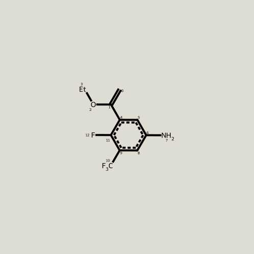 C=C(OCC)c1cc(N)cc(C(F)(F)F)c1F